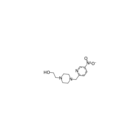 O=[N+]([O-])c1ccc(CN2CCN(CCO)CC2)nc1